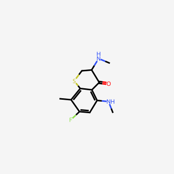 CNc1cc(F)c(C)c2c1C(=O)C(NC)CS2